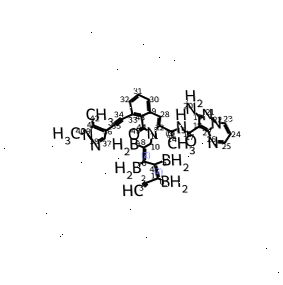 B/C(C#C)=C(B)/C(B)=C(/B)Cn1c([C@H](C)NC(=O)c2c(N)nn3cccnc23)cc2cccc(C#Cc3cnn(C)c3C)c2c1=O